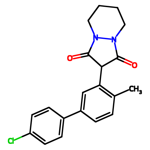 Cc1ccc(-c2ccc(Cl)cc2)cc1C1C(=O)N2CCCCN2C1=O